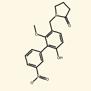 COc1c(CN2CCCC2=O)ccc(O)c1-c1cccc([N+](=O)[O-])c1